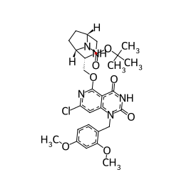 COc1ccc(Cn2c(=O)[nH]c(=O)c3c(OC[C@H]4NC[C@H]5CC[C@@H]4N5C(=O)OC(C)(C)C)nc(Cl)cc32)c(OC)c1